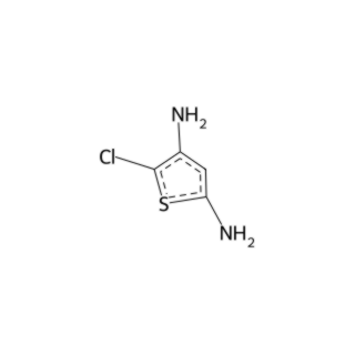 Nc1cc(N)c(Cl)s1